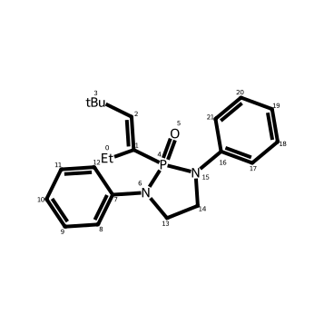 CC/C(=C\C(C)(C)C)P1(=O)N(c2ccccc2)CCN1c1ccccc1